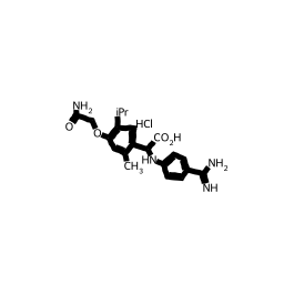 Cc1cc(OCC(N)=O)c(C(C)C)cc1C(Nc1ccc(C(=N)N)cc1)C(=O)O.Cl